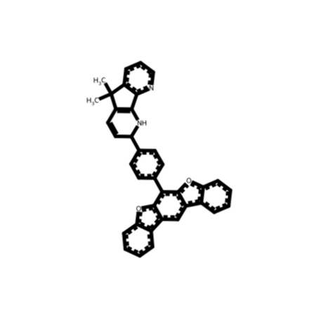 CC1(C)C2=C(NC(c3ccc(-c4c5oc6ccccc6c5cc5c4oc4ccccc45)cc3)C=C2)c2ncccc21